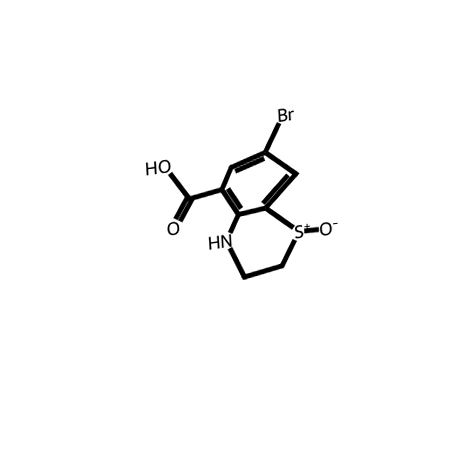 O=C(O)c1cc(Br)cc2c1NCC[S+]2[O-]